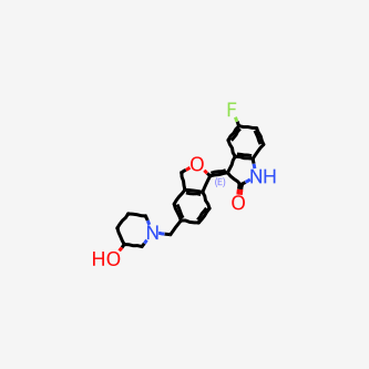 O=C1Nc2ccc(F)cc2/C1=C1\OCc2cc(CN3CCCC(O)C3)ccc21